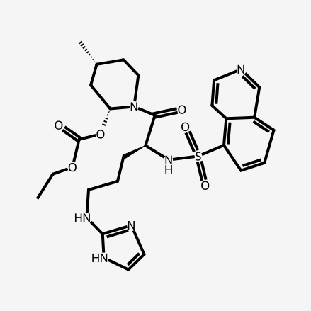 CCOC(=O)O[C@@H]1C[C@H](C)CCN1C(=O)[C@H](CCCNc1ncc[nH]1)NS(=O)(=O)c1cccc2cnccc12